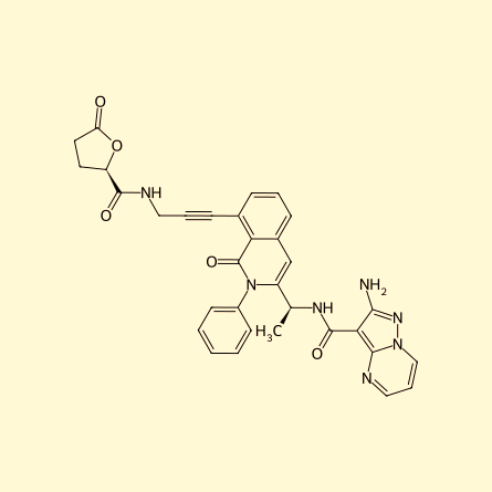 C[C@H](NC(=O)c1c(N)nn2cccnc12)c1cc2cccc(C#CCNC(=O)[C@H]3CCC(=O)O3)c2c(=O)n1-c1ccccc1